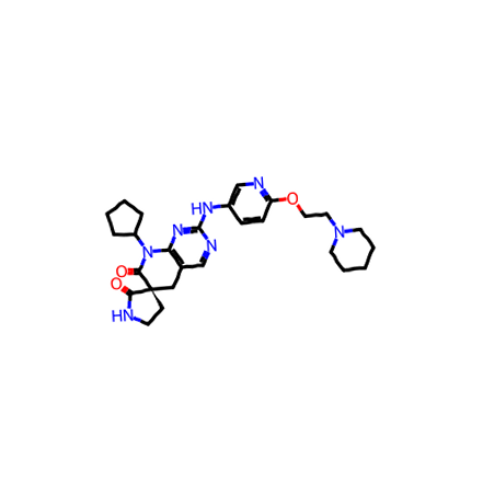 O=C1NCC[C@@]12Cc1cnc(Nc3ccc(OCCN4CCCCC4)nc3)nc1N(C1CCCC1)C2=O